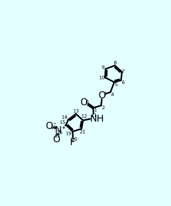 O=C(COCc1ccccc1)Nc1ccc([N+](=O)[O-])c(F)c1